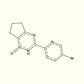 O=c1[nH]c(-c2ccc(Br)cn2)nc2c1CCC2